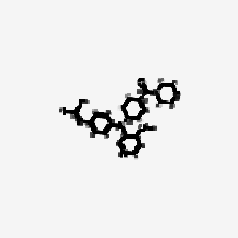 COc1ccncc1N(c1ccc(OC(F)F)cc1)[C@H]1CC[C@@H](C(=O)N2CCOCC2)CC1